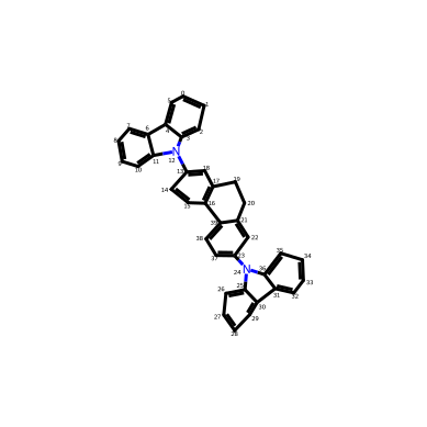 c1ccc2c(c1)c1ccccc1n2-c1ccc2c(c1)CCc1cc(-n3c4ccccc4c4ccccc43)ccc1-2